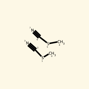 CSC#N.CSC#N